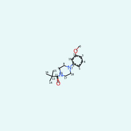 COc1cccc(N2CCN(C(=O)C(C)(C)C)CC2)c1